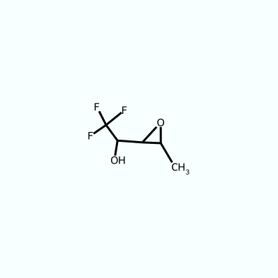 CC1OC1C(O)C(F)(F)F